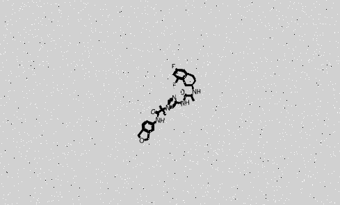 CC(NC1CCc2cc(F)cc(F)c2C1)C(=O)Nc1cn(C(C)(C)C(=O)Nc2ccc3c(c2)COC3)cn1